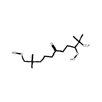 CC(C)(CCCC(=O)CCC(OO)C(C)(C)C(=O)O)COO